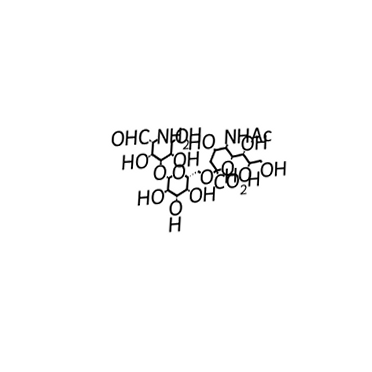 CC(=O)N[C@H]1[C@H]([C@H](O)[C@H](O)CO)O[C@@](OC[C@H]2O[C@@H](O[C@@H]([C@H](O)[C@@H](N)C=O)[C@H](O)CO)[C@H](O)[C@@H](O)[C@H]2O)(C(=O)O)C[C@@H]1O